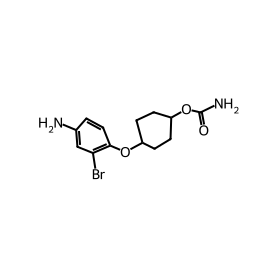 NC(=O)OC1CCC(Oc2ccc(N)cc2Br)CC1